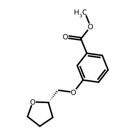 COC(=O)c1cccc(OC[C@@H]2CCCO2)c1